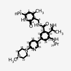 CCCc1cc(C)c(CNC(=O)c2cc(-c3ccc(N4CCN(C)CC4)nc3)cc(NC(C)C)c2C(C)=N)c(=O)[nH]1